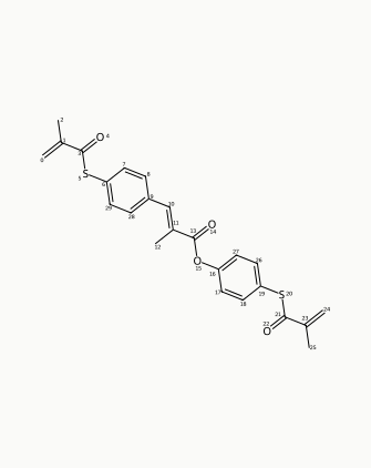 C=C(C)C(=O)Sc1ccc(/C=C(\C)C(=O)Oc2ccc(SC(=O)C(=C)C)cc2)cc1